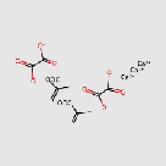 C=C(C)C(=O)[O-].C=C(C)C(=O)[O-].O=C([O-])C(=O)[O-].O=C([O-])C(=O)[O-].[Ca+2].[Ca+2].[Ca+2]